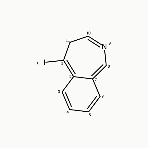 IC1=c2ccccc2=CN=CC1